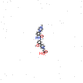 COc1ccc([C@@H](C)NC(=O)c2cc(N3CCN(C)CC3)ccc2C)cc1C1CCN(CCC(=O)O)CC1